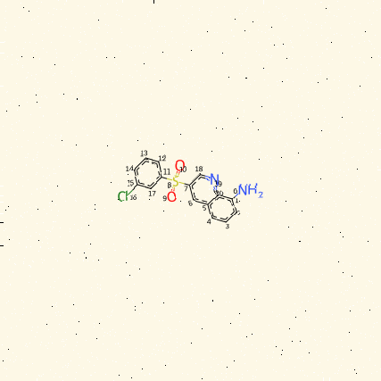 Nc1cccc2cc(S(=O)(=O)c3cccc(Cl)c3)cnc12